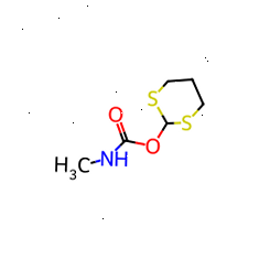 CNC(=O)OC1SCCCS1